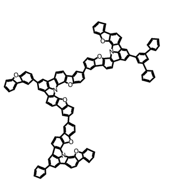 c1ccc(-c2cc(-c3ccccc3)cc(-c3cc4c5ccc6c7ccccc7oc6c5n5c4c(c3)c3ccc4c6cc(-c7ccc8oc9c(ccc%10c%11cc(-c%12ccc%13oc%14ccccc%14c%13c%12)cc%12c%13ccc%14c%15cc(-c%16ccc%17oc%18c(ccc%19c%20cc(-c%21ccccc%21)cc%21c%22ccc%23c%24ccccc%24oc%23c%22n(c%21%20)c%19%18)c%17c%16)ccc%15oc%14c%13n(c%12%11)c%109)c8c7)ccc6oc4c35)c2)cc1